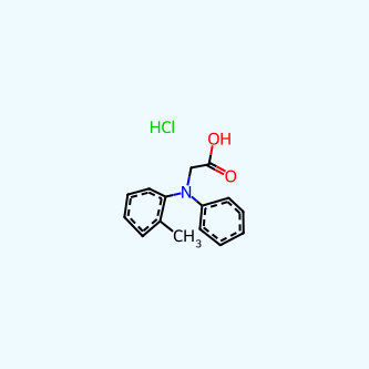 Cc1ccccc1N(CC(=O)O)c1ccccc1.Cl